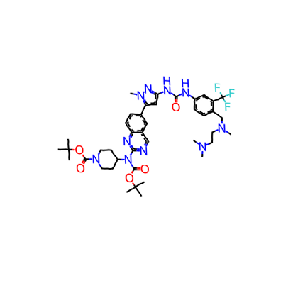 CN(C)CCN(C)Cc1ccc(NC(=O)Nc2cc(-c3ccc4nc(N(C(=O)OC(C)(C)C)C5CCN(C(=O)OC(C)(C)C)CC5)ncc4c3)n(C)n2)cc1C(F)(F)F